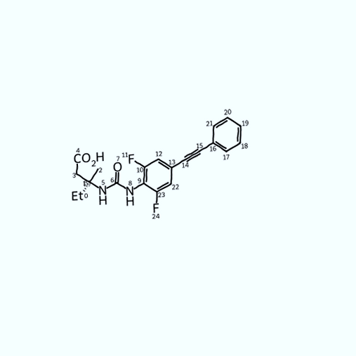 CC[C@@](C)(CC(=O)O)NC(=O)Nc1c(F)cc(C#Cc2ccccc2)cc1F